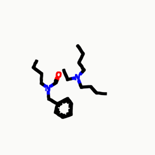 CCCCN(C=O)Cc1ccccc1.CCCCN(CC)CCCC